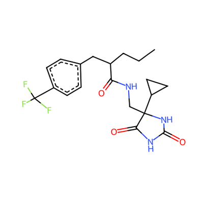 CCCC(Cc1ccc(C(F)(F)F)cc1)C(=O)NCC1(C2CC2)NC(=O)NC1=O